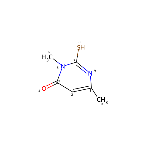 Cc1[c]c(=O)n(C)c(S)n1